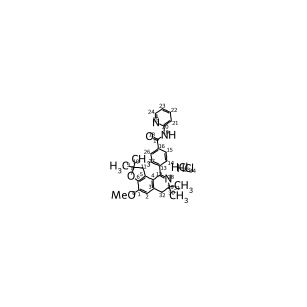 COc1cc2c(c3c1OC(C)(C)C3)C(c1ccc(C(=O)Nc3ccccn3)cc1)=NC(C)(C)C2.Cl.Cl